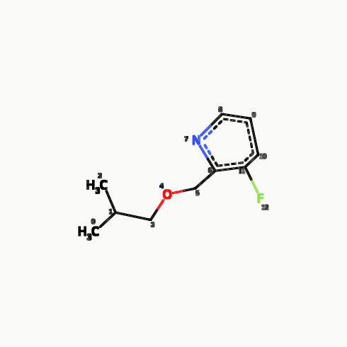 CC(C)COCc1ncccc1F